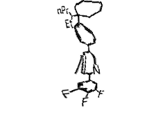 CCCC(CC)C1(c2ccc(-c3cnc(-c4cc(F)c(F)c(F)c4)nc3)cc2)CCCCC1